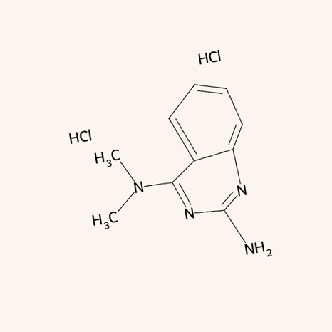 CN(C)c1nc(N)nc2ccccc12.Cl.Cl